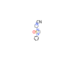 N#CN1CCC(N2CCN(c3ccccc3)[S+]2[O-])C1